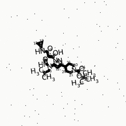 CC(C)Cn1[nH]oc(C(=O)NC2CC2)c(O)n2nc(C3CCN(C(=O)OC(C)(C)C)CC3)cc12